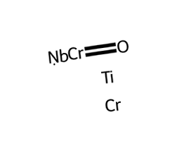 [Cr].[Nb].[O]=[Cr].[Ti]